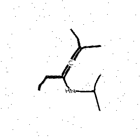 CCC(=C=C(C)C)NC(C)C